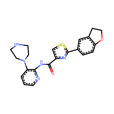 O=C(Nc1ncccc1N1CCNCC1)c1csc(-c2ccc3c(c2)CCO3)n1